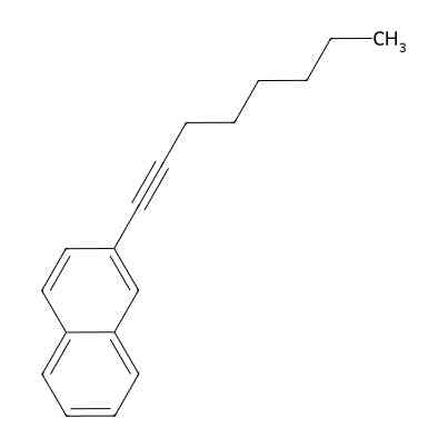 CCCCCCC#Cc1ccc2ccccc2c1